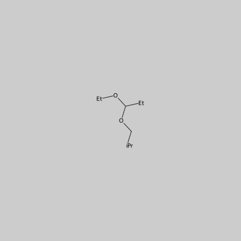 CCOC(CC)OCC(C)C